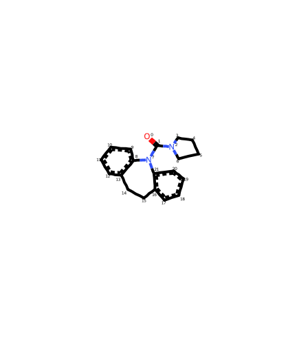 O=C(N1CCCC1)N1c2ccccc2CCc2ccccc21